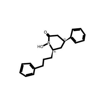 O=C1C[C@@H](c2ccccc2)C[C@@H](CCCc2ccccc2)N1O